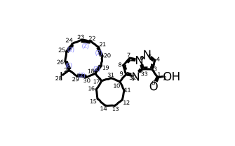 O=C(O)c1cnn2ccc(C3CCCCCCC(C4=C/C=C\C=C/C=C\C=C(I)/C=C\4)C3)nc12